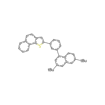 CC(C)(C)c1ccc2c(-c3cccc(-c4cc5ccc6ccccc6c5s4)c3)cc(C(C)(C)C)cc2c1